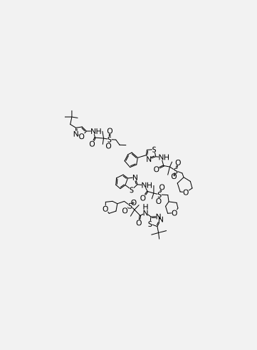 CC(C)(C(=O)Nc1nc(-c2ccccc2)cs1)S(=O)(=O)CC1CCOCC1.CC(C)(C(=O)Nc1nc2ccccc2s1)S(=O)(=O)CC1CCOCC1.CC(C)(C)c1nnc(NC(=O)C(C)(C)S(=O)(=O)CC2CCOCC2)s1.CCCS(=O)(=O)C(C)(C)C(=O)Nc1cc(CC(C)(C)C)no1